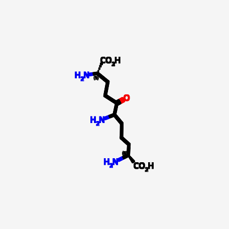 NC(CCC[C@H](N)C(=O)O)C(=O)CC[C@H](N)C(=O)O